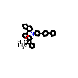 CC1(C)c2ccccc2-c2cc(N(C3=C(c4ccccc4)C4=CC=CCC4C=C3)c3ccc(-c4ccc(-c5ccccc5)cc4)cc3)ccc21